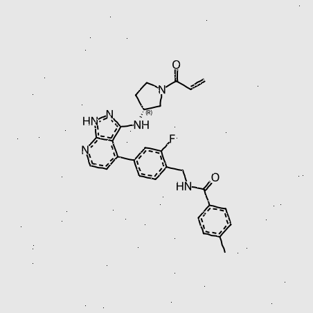 C=CC(=O)N1CC[C@@H](Nc2n[nH]c3nccc(-c4ccc(CNC(=O)c5ccc(C)cc5)c(F)c4)c23)C1